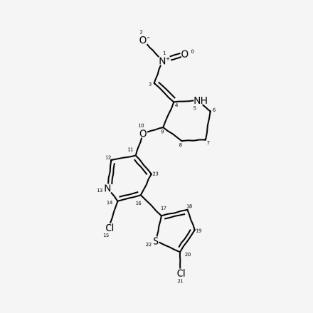 O=[N+]([O-])/C=C1\NCCCC1Oc1cnc(Cl)c(-c2ccc(Cl)s2)c1